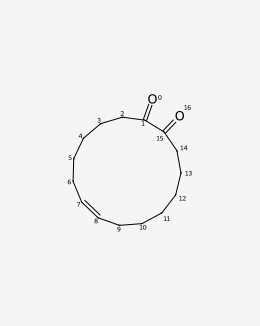 O=C1CCCCC/C=C\CCCCCCC1=O